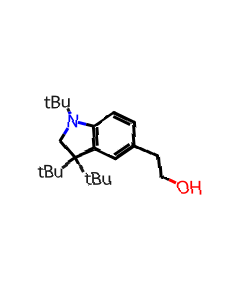 CC(C)(C)N1CC(C(C)(C)C)(C(C)(C)C)c2cc(CCO)ccc21